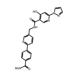 CNC(=O)c1ccc(-c2ccc(CNC(=O)c3cnc(-n4cccn4)cc3O)cn2)cc1